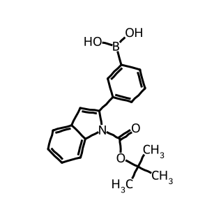 CC(C)(C)OC(=O)n1c(-c2cccc(B(O)O)c2)cc2ccccc21